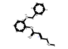 COC/C=C/C(=O)Oc1ccccc1OCc1ccccc1